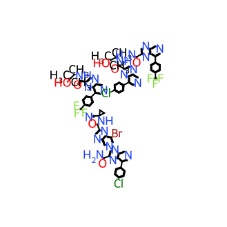 CC(NC(=O)c1cnc2cncc(-c3ccc(C(F)(F)F)cc3)c2n1)C(C)(C)O.CC(NC(=O)c1cnc2cncc(-c3ccc(Cl)cc3)c2n1)C(C)(C)O.N#CC1(NC(=O)c2cnc3cncc(Br)c3n2)CC1.NC(=O)c1cnc2cncc(-c3ccc(C(F)(F)F)cc3)c2n1.NC(=O)c1cnc2cncc(-c3ccc(Cl)cc3)c2n1